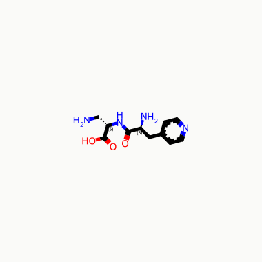 NC[C@H](NC(=O)[C@@H](N)Cc1ccncc1)C(=O)O